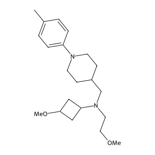 COCCN(CC1CCN(c2ccc(C)cc2)CC1)C1CC(OC)C1